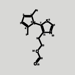 Cc1ccc(C)n1-c1scnc1CCOC=O